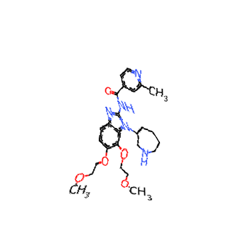 COCCOc1ccc2nc(NC(=O)c3ccnc(C)c3)n(C3CCCCNC3)c2c1OCCOC